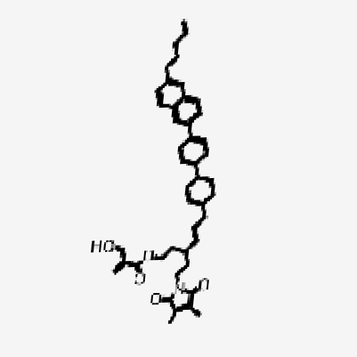 C=C(CO)C(=O)OCCC(CCCC1CCC(C2CC=C(c3ccc4cc(CCCCC)ccc4c3)CC2)CC1)CCN1C(=O)C(C)=C(C)C1=O